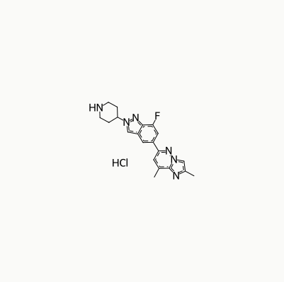 Cc1cn2nc(-c3cc(F)c4nn(C5CCNCC5)cc4c3)cc(C)c2n1.Cl